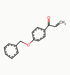 C=CC(=O)c1ccc(OCc2ccccc2)cc1